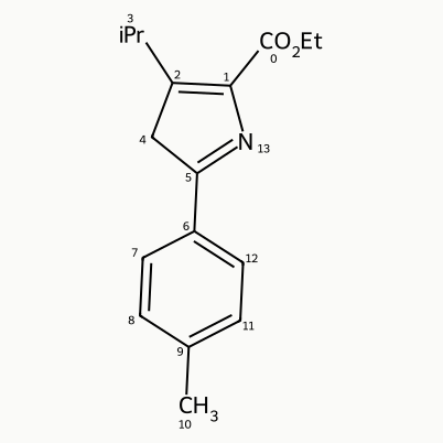 CCOC(=O)C1=C(C(C)C)CC(c2ccc(C)cc2)=N1